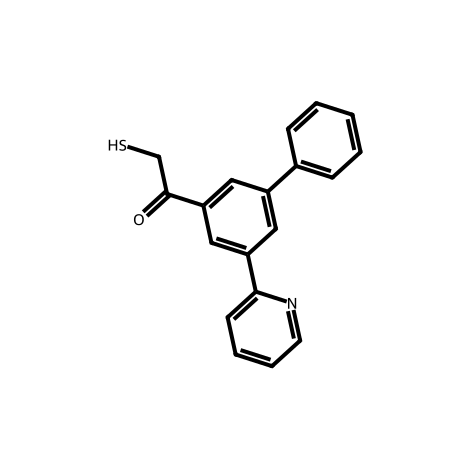 O=C(CS)c1cc(-c2ccccc2)cc(-c2ccccn2)c1